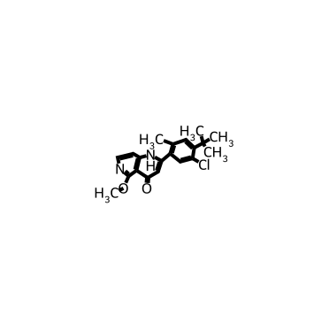 COc1nccc2[nH]c(-c3cc(Cl)c(C(C)(C)C)cc3C)cc(=O)c12